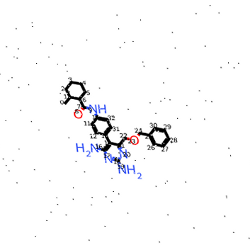 CC1CCCCC1C(=O)Nc1ccc(-c2c(N)nc(N)nc2COCc2ccccc2)cc1